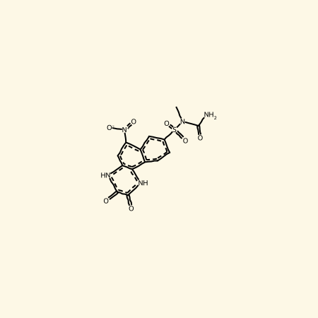 CN(C(N)=O)S(=O)(=O)c1ccc2c(c1)c([N+](=O)[O-])cc1[nH]c(=O)c(=O)[nH]c12